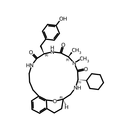 C[C@@H]1C(=O)N[C@H](Cc2ccc(O)cc2)C(=O)NCCCc2cccc3c2O[C@H](CC3)CN[C@@H](C2CCCCC2)C(=O)N1C